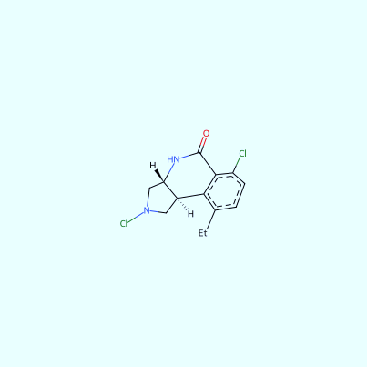 CCc1ccc(Cl)c2c1[C@H]1CN(Cl)C[C@@H]1NC2=O